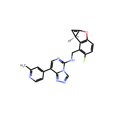 Cc1cc(-c2cnc(NCc3c(F)ccc4c3[C@H]3C=C3O4)n3cnnc23)ccn1